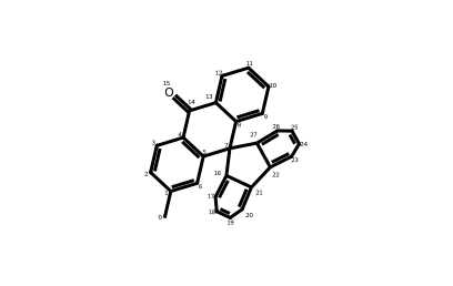 Cc1ccc2c(c1)C1(c3ccccc3C2=O)c2ccccc2-c2ccccc21